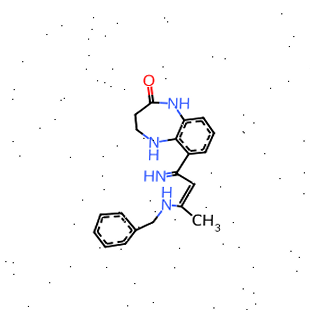 C/C(=C/C(=N)c1cccc2c1NCCC(=O)N2)NCc1ccccc1